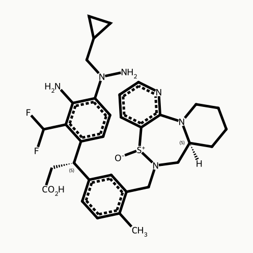 Cc1ccc([C@H](CC(=O)O)c2ccc(N(N)CC3CC3)c(N)c2C(F)F)cc1CN1C[C@@H]2CCCCN2c2ncccc2[S+]1[O-]